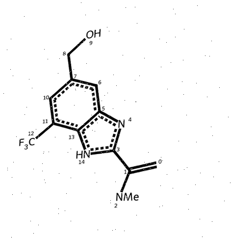 C=C(NC)c1nc2cc(CO)cc(C(F)(F)F)c2[nH]1